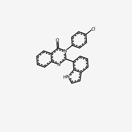 O=c1c2ccccc2nc(-c2cccc3cc[nH]c23)n1-c1ccc(Cl)cc1